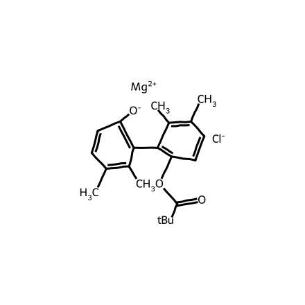 Cc1ccc([O-])c(-c2c(OC(=O)C(C)(C)C)ccc(C)c2C)c1C.[Cl-].[Mg+2]